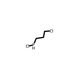 ClCCCPCl